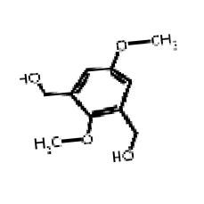 COc1cc(CO)c(OC)c(CO)c1